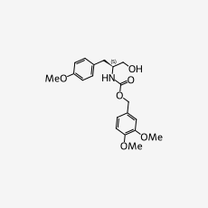 COc1ccc(C[C@@H](CO)NC(=O)OCc2ccc(OC)c(OC)c2)cc1